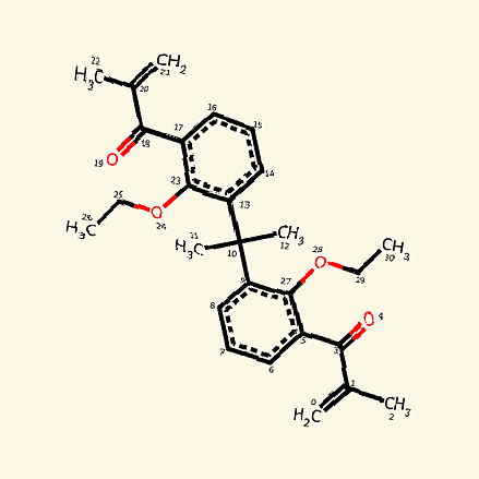 C=C(C)C(=O)c1cccc(C(C)(C)c2cccc(C(=O)C(=C)C)c2OCC)c1OCC